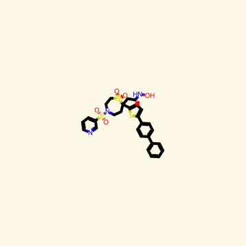 O=C(CC1(c2ccc(-c3ccc(-c4ccccc4)cc3)s2)CCN(S(=O)(=O)c2cccnc2)CCS1(=O)=O)NO